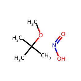 COC(C)(C)C.O=NO